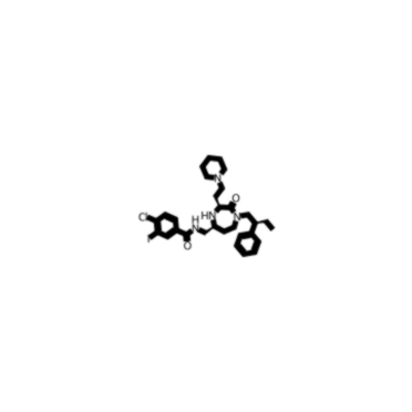 CC[C@H](CN1CC[C@@H](CNC(=O)c2ccc(Cl)c(I)c2)N[C@@H](CCN2CCCCC2)C1=O)c1ccccc1